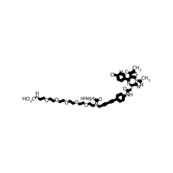 CCCCCCCC(=O)N(CC#CC#Cc1ccc(NC(=O)C[C@@H]2N=C(c3ccc(Cl)cc3)c3c(sc(C)c3C)-n3c(C)nnc32)cc1)CCOCCOCCOCCOCCOCCNC(=O)O